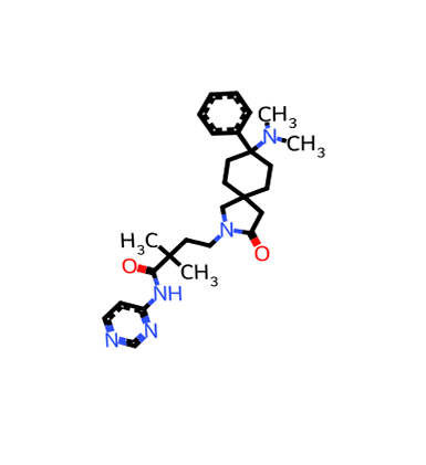 CN(C)C1(c2ccccc2)CCC2(CC1)CC(=O)N(CCC(C)(C)C(=O)Nc1ccncn1)C2